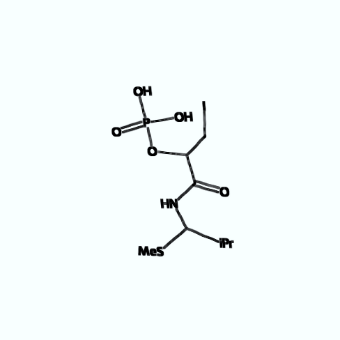 CSC(NC(=O)C(CI)OP(=O)(O)O)C(C)C